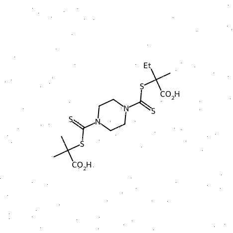 CCC(C)(SC(=S)N1CCN(C(=S)SC(C)(C)C(=O)O)CC1)C(=O)O